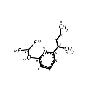 CCCC(C)c1cccc(OC(F)F)n1